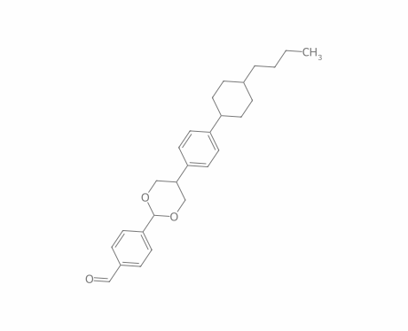 CCCCC1CCC(c2ccc(C3COC(c4ccc(C=O)cc4)OC3)cc2)CC1